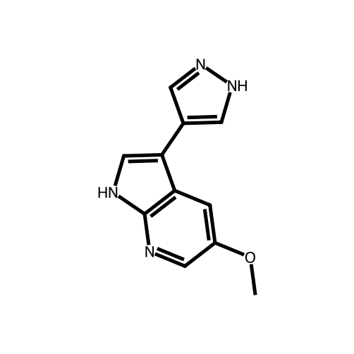 COc1cnc2[nH]cc(-c3cn[nH]c3)c2c1